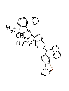 CC1(C)c2cc(CCC(c3ccc4c(c3)sc3ccccc34)c3cccc4ccccc34)ccc2-c2cc3c(cc21)C(C)(C)c1cccc(-c2ccccc2)c1-3